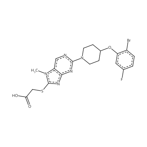 Cn1c(SCC(=O)O)nc2nc(N3CCC(Oc4cc(F)ccc4Br)CC3)ncc21